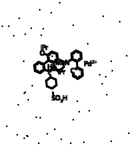 CC(C)Oc1cccc(OC(C)C)c1-c1ccccc1[PH+](C1CCCCC1)C1CCCCC1.CS(=O)(=O)O.C[N-]c1ccccc1-c1[c-]cccc1.[Pd+2]